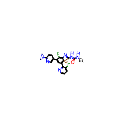 CCNC(=O)Nc1nc2c(F)c(-c3ccc(N(C)C)nc3)cc(-c3ncccc3F)c2s1